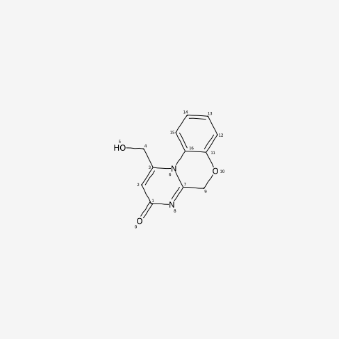 O=c1cc(CO)n2c(n1)COc1ccccc1-2